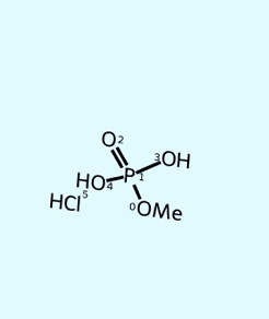 COP(=O)(O)O.Cl